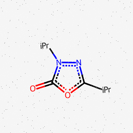 CC(C)c1nn(C(C)C)c(=O)o1